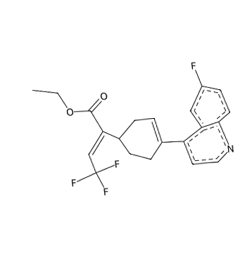 CCOC(=O)/C(=C/C(F)(F)F)C1CC=C(c2ccnc3ccc(F)cc23)CC1